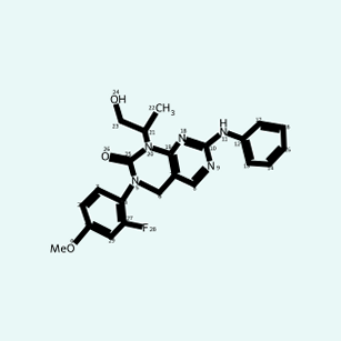 COc1ccc(N2Cc3cnc(Nc4ccccc4)nc3N(C(C)CO)C2=O)c(F)c1